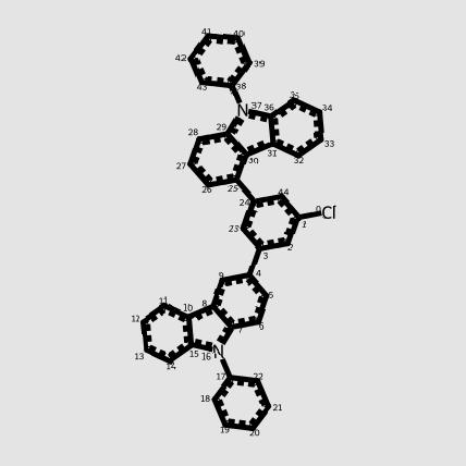 Clc1cc(-c2ccc3c(c2)c2ccccc2n3-c2ccccc2)cc(-c2cccc3c2c2ccccc2n3-c2ccccc2)c1